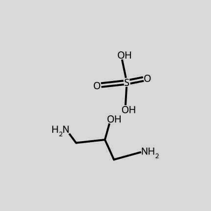 NCC(O)CN.O=S(=O)(O)O